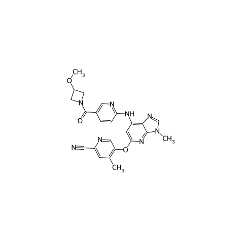 COC1CN(C(=O)c2ccc(Nc3cc(Oc4cnc(C#N)cc4C)nc4c3ncn4C)nc2)C1